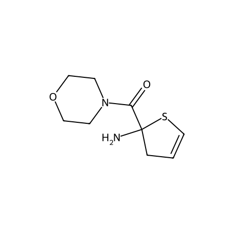 NC1(C(=O)N2CCOCC2)CC=CS1